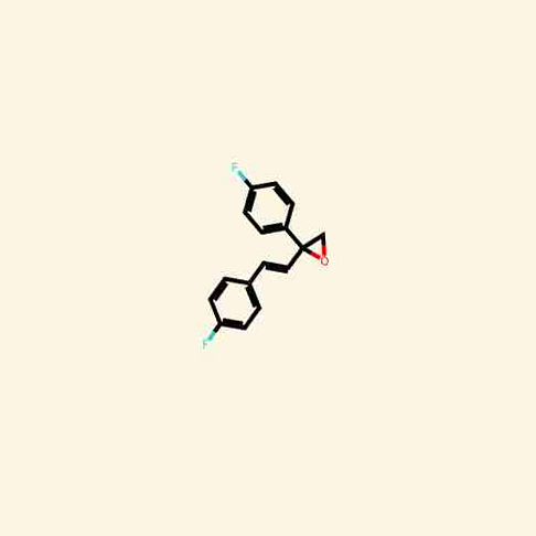 Fc1ccc(C=CC2(c3ccc(F)cc3)CO2)cc1